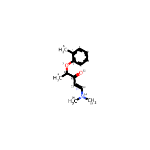 Cc1ccccc1OC(C)C(=O)/C=C/N(C)C